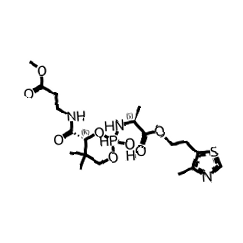 COC(=O)CCNC(=O)[C@@H]1O[PH](O)(N[C@@H](C)C(=O)OCCc2scnc2C)OCC1(C)C